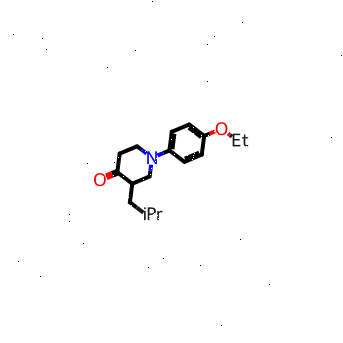 CCOc1ccc(N2CCC(=O)C(CC(C)C)C2)cc1